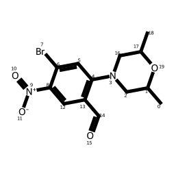 CC1CN(c2cc(Br)c([N+](=O)[O-])cc2C=O)CC(C)O1